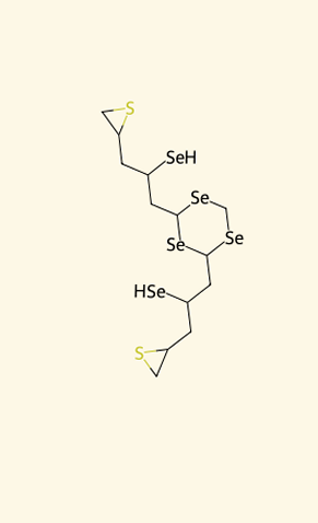 [SeH]C(CC1CS1)CC1[Se]C[Se]C(CC([SeH])CC2CS2)[Se]1